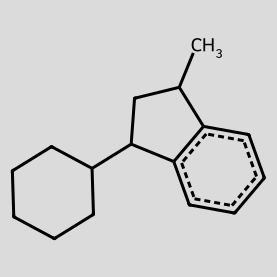 CC1CC(C2CCCCC2)c2ccccc21